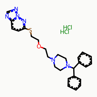 Cl.Cl.c1ccc(C(c2ccccc2)N2CCN(CCOCCSc3ccc4ncnn4n3)CC2)cc1